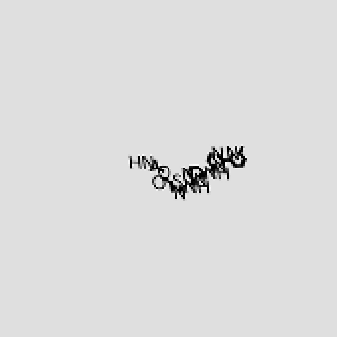 Cc1cccc(-c2nccc(Nc3ccnc(Nc4ncc(C(=O)OC5CNC5)s4)n3)n2)n1